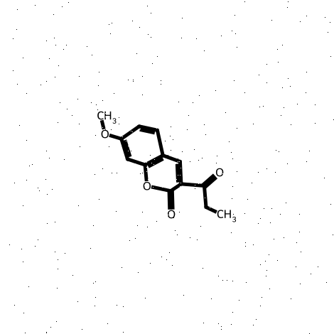 CCC(=O)c1cc2ccc(OC)cc2oc1=O